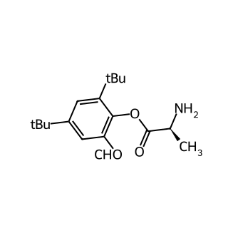 C[C@H](N)C(=O)Oc1c(C=O)cc(C(C)(C)C)cc1C(C)(C)C